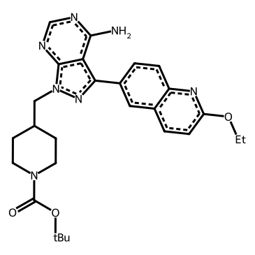 CCOc1ccc2cc(-c3nn(CC4CCN(C(=O)OC(C)(C)C)CC4)c4ncnc(N)c34)ccc2n1